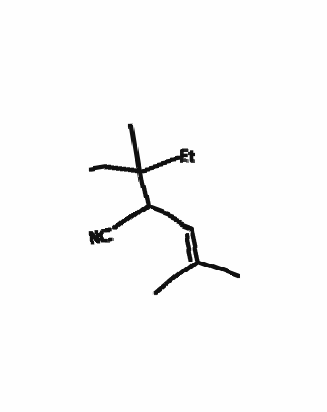 CCC(C)(C)C(C#N)C=C(C)C